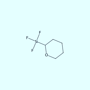 F[Si](F)(F)C1CCCCO1